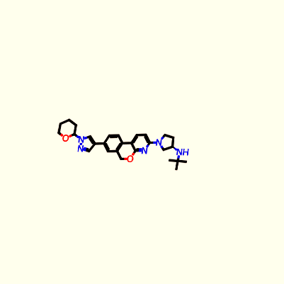 CC(C)(C)N[C@@H]1CCN(c2ccc3c(n2)OCc2cc(-c4cnn(C5CCCCO5)c4)ccc2-3)C1